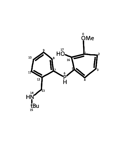 COc1cccc(Pc2ccccc2CNC(C)(C)C)c1O